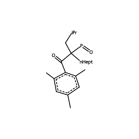 CCCCCCCC(CC(C)C)(P=O)C(=O)c1c(C)cc(C)cc1C